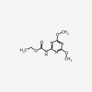 CCOC(=O)Nc1nc(OC)nc(OC)n1